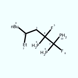 CCCCC(CC)CC(F)(P)C(F)(P)P